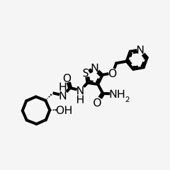 NC(=O)c1c(OCc2cccnc2)nsc1NC(=O)NC[C@H]1CCCCCC[C@H]1O